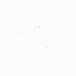 CCCCCCCCC(C=C(C)C1=NCCO1)C(F)(F)F